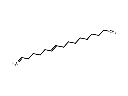 C=CCCCCC=CCCCCCCCCC